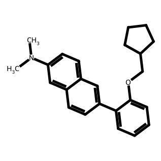 CN(C)c1ccc2cc(-c3ccccc3OCC3CCCC3)ccc2c1